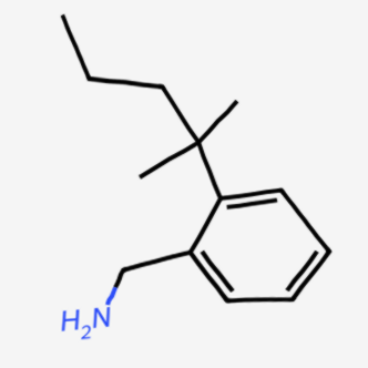 CCCC(C)(C)c1ccccc1CN